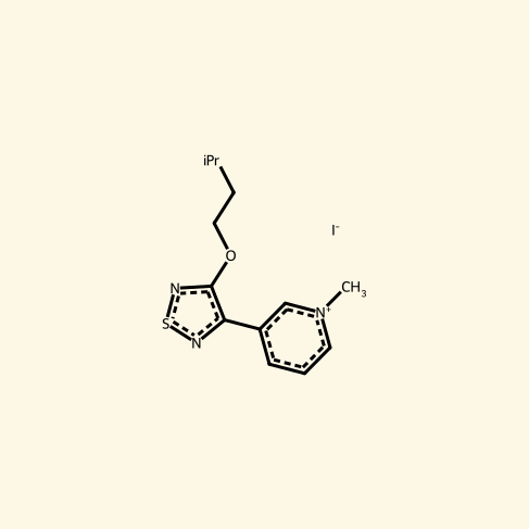 CC(C)CCOc1nsnc1-c1ccc[n+](C)c1.[I-]